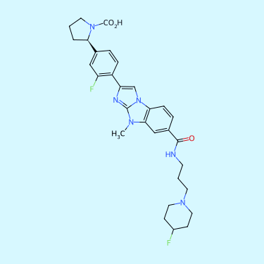 Cn1c2cc(C(=O)NCCCN3CCC(F)CC3)ccc2n2cc(-c3ccc([C@H]4CCCN4C(=O)O)cc3F)nc12